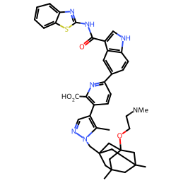 CNCCOC12CC3(C)CC(C)(CC(Cn4ncc(-c5ccc(-c6ccc7[nH]cc(C(=O)Nc8nc9ccccc9s8)c7c6)nc5C(=O)O)c4C)(C3)C1)C2